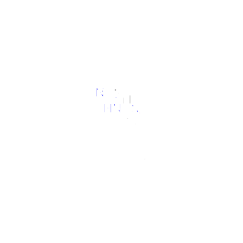 c1cc2c(N[C@@H]3CN4CCC3CC4)noc2cc1C1CC1